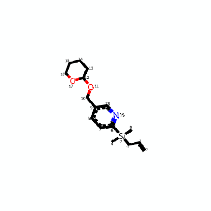 C=CC[Si](C)(C)c1ccc(COC2CCCCO2)cn1